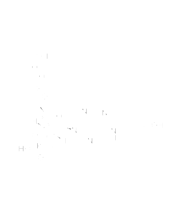 O=P1(O)O[C@@H]2[C@H](O1)[C@@H](COSOOO)O[C@H]2n1cnc2c(N[C@@H]3CC[C@H](O)C3)ncnc21